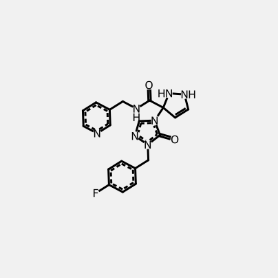 O=C(NCc1cccnc1)C1(n2cnn(Cc3ccc(F)cc3)c2=O)C=CNN1